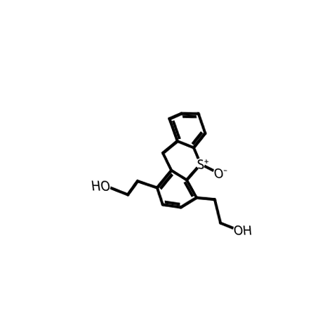 [O-][S+]1c2ccccc2Cc2c(CCO)ccc(CCO)c21